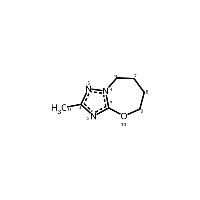 Cc1nc2n(n1)CCCCO2